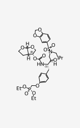 CCOP(=O)(COc1ccc(C[C@H](NC(=O)O[C@H]2CO[C@H]3OCC[C@H]32)[C@H](O)CN(CC(C)C)S(=O)(=O)c2ccc3c(c2)OCO3)cc1)OCC